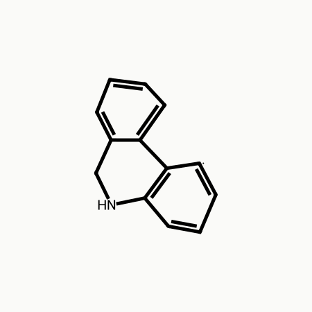 [c]1cccc2c1-c1ccccc1CN2